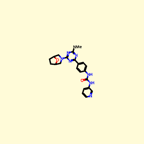 CNc1nc(-c2ccc(NC(=O)Nc3cccnc3)cc2)nc(N2CC3CCC(C2)O3)n1